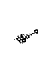 CCc1cc2cnc3ccc(-c4ccc(OCCCN5CCCCC5)nc4)cc3c2n([C@H]2CCOC2)c1=O